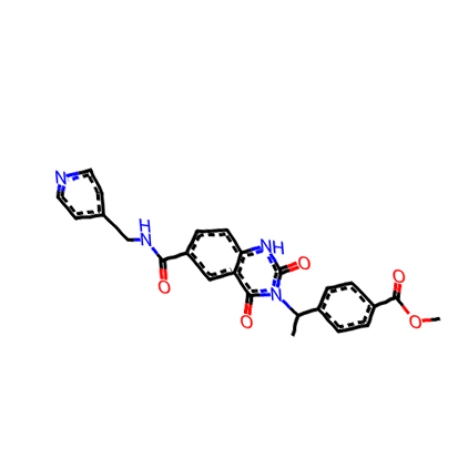 COC(=O)c1ccc(C(C)n2c(=O)[nH]c3ccc(C(=O)NCc4ccncc4)cc3c2=O)cc1